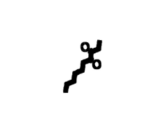 CCCCCCC(=O)C(=O)CC